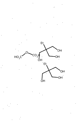 CCC(CO)(CO)CO.CCC(CO)(CO)CO.O=C(O)OC(=O)O